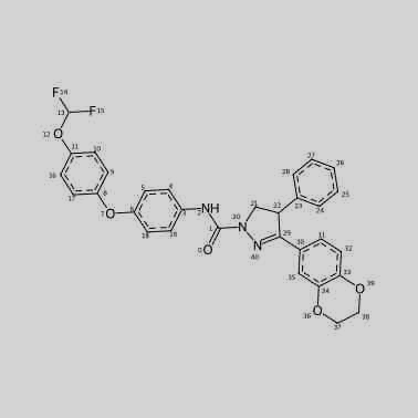 O=C(Nc1ccc(Oc2ccc(OC(F)F)cc2)cc1)N1CC(c2ccccc2)C(c2ccc3c(c2)OCCO3)=N1